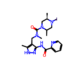 Cc1[nH]nc(NC(=O)c2ccccn2)c1CN(C)C(=O)N1C[C@@H](C)N(I)CC1C